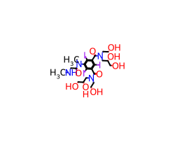 CNCC(=O)N(C)c1c(I)c(C(=O)N(CCO)CC(O)CO)c(I)c(C(=O)N(CCO)CC(O)CO)c1I